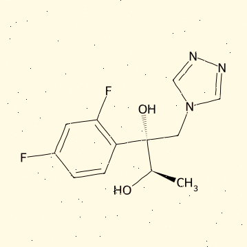 C[C@@H](O)[C@](O)(Cn1cnnc1)c1ccc(F)cc1F